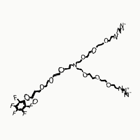 [N-]=[N+]=NCCOCCOCCOCCN(CCOCCOCCOCCN=[N+]=[N-])CCOCCOCCOCCC(=O)Oc1c(F)c(F)c(F)c(F)c1F